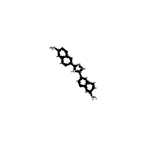 Nc1ccc2cc(-c3nnc(-c4ccc5cc(N)ccc5c4)o3)ccc2c1